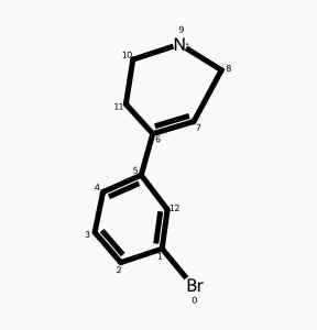 Brc1cccc(C2=CC[N]CC2)c1